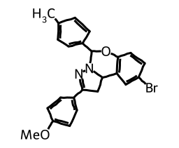 COc1ccc(C2=NN3C(C2)c2cc(Br)ccc2OC3c2ccc(C)cc2)cc1